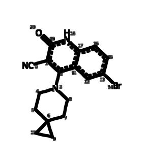 N#Cc1c(N2CCC3(CC2)CC3)c2cc(Br)ccc2[nH]c1=O